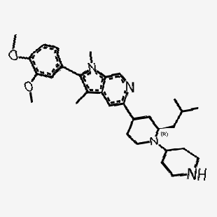 COc1ccc(-c2c(C)c3cc(C4CCN(C5CCNCC5)[C@H](CC(C)C)C4)ncc3n2C)cc1OC